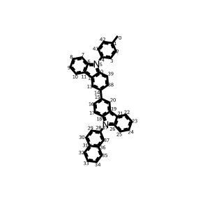 Cc1ccc(-n2c3ccccc3c3cc(-c4ccc5c(c4)c4ccccc4n5-c4ccc5ccccc5c4)ccc32)cc1